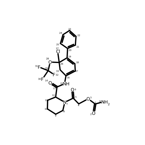 NC(=O)OCC(=O)N1CCCCC1C(=O)NC1=CC=C(c2ccccc2)C(Cl)(OC(F)(F)F)C1